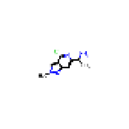 CC(N)c1cc2nn(C)cc2cn1.Cl